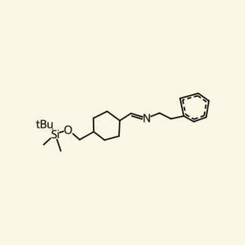 CC(C)(C)[Si](C)(C)OCC1CCC(C=NCCc2ccccc2)CC1